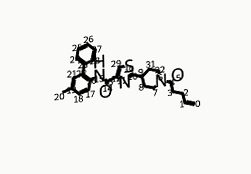 C=CCCC(=O)N1CCC(c2nc(C(=O)Nc3ccc(C)cc3-c3ccccc3)cs2)CC1